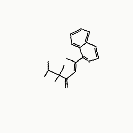 C=C(/C=C(\C)c1nccc2ccccc12)C(C)(C)C(C)C